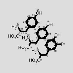 NC(Cc1ccc(O)c(F)c1)C(=O)O.NC(Cc1ccc(O)cc1)C(=O)O.N[C@H](Cc1ccc(O)cc1)C(=O)O